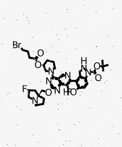 CC(C)(C)OC(=O)N1NCc2c1ccc(O)c2-c1ncc2c(N3CCC[C@@H](OC(=O)CCCBr)C3)nc(OC[C@@]34CCCN3C[C@H](F)C4)nc2c1F